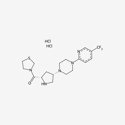 Cl.Cl.O=C([C@@H]1C[C@H](N2CCN(c3ccc(C(F)(F)F)cn3)CC2)CN1)N1CCSC1